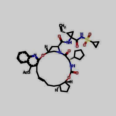 C=C[C@@H]1C[C@]1(NC(=O)[C@@H]1C[C@@H]2CN1C(=O)[C@H](C1CCCC1)NC(=O)O[C@@H]1CCC[C@H]1CC/C=C/Cc1c(nc3ccccc3c1OC(C)=O)O2)C(=O)NS(=O)(=O)C1CC1